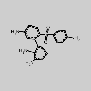 Nc1ccc(S(=O)(=O)c2ccc(N)cc2-c2cccc(N)c2N)cc1